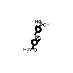 NC(=O)c1ccc2c(cnn2Cc2ccc(B(O)O)cc2)c1